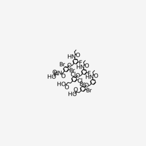 CCC(=O)Nc1cc(F)cc(COc2c(Br)cc(C(=O)NCC(=O)O)cc2Br)c1.CCC(=O)Nc1cc(F)cc(COc2c(Cl)cc(CCC(=O)O)cc2Cl)c1.CCC(=O)Nc1cccc(COc2c(Br)cc(CC(=O)O)cc2Br)c1